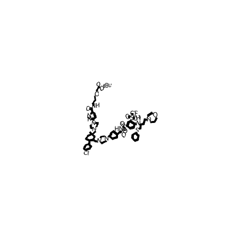 CC1(CN2CCN(c3ccc(C(=O)NCCCOCC(=O)OC(C)(C)C)nn3)CC2)CCC(c2ccc(Cl)cc2)=C(CN2CCN(c3ccc(C(=O)NS(=O)(=O)c4ccc(NC(CCN5CCCOCC5)CSc5ccccc5)c(S(=O)(=O)C(F)(F)F)c4)cc3)CC2)C1